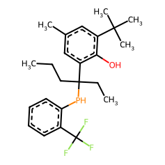 CCCC(CC)(Pc1ccccc1C(F)(F)F)c1cc(C)cc(C(C)(C)C)c1O